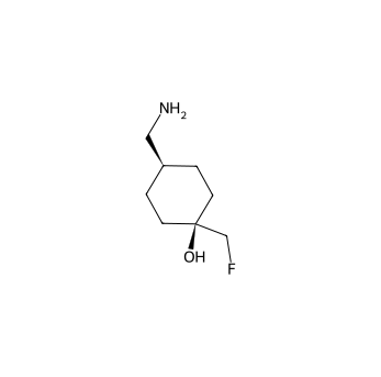 NC[C@H]1CC[C@](O)(CF)CC1